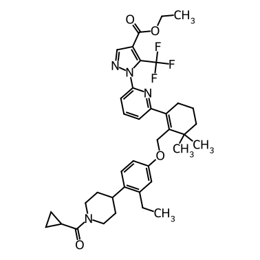 CCOC(=O)c1cnn(-c2cccc(C3=C(COc4ccc(C5CCN(C(=O)C6CC6)CC5)c(CC)c4)C(C)(C)CCC3)n2)c1C(F)(F)F